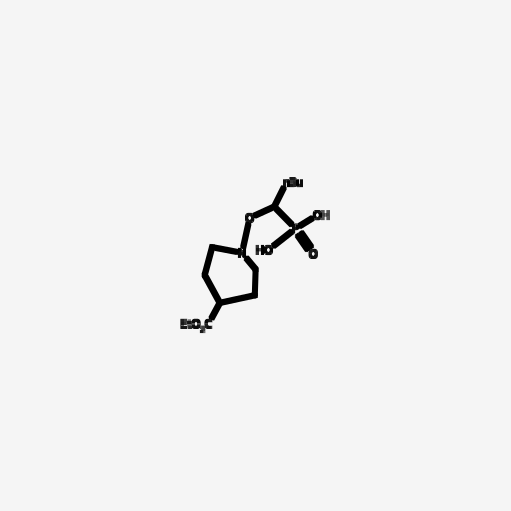 CCCCC(ON1CCC(C(=O)OCC)CC1)P(=O)(O)O